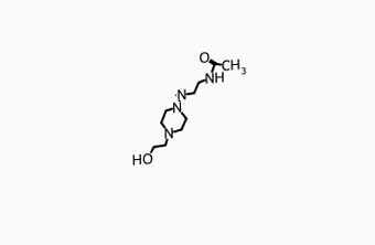 CC(=O)NCC[N]N1CCN(CCO)CC1